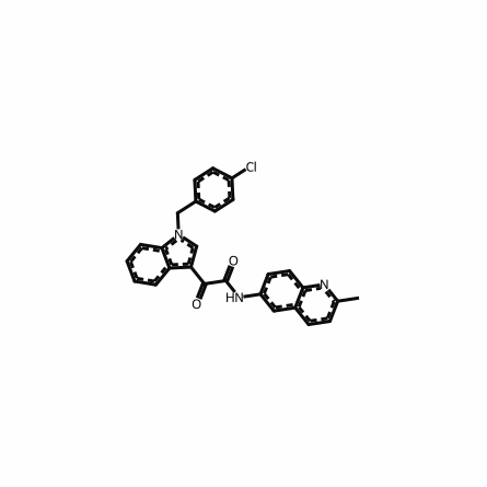 Cc1ccc2cc(NC(=O)C(=O)c3cn(Cc4ccc(Cl)cc4)c4ccccc34)ccc2n1